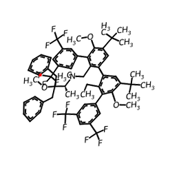 CCc1c(-c2cc(C(C)(C)C)c(OC)c(-c3cc(C(F)(F)F)cc(C(F)(F)F)c3)c2CN(C)[C@@H](C)C(Cc2ccccc2)(Cc2ccccc2)OC)cc(C(C)(C)C)c(OC)c1-c1cc(C(F)(F)F)cc(C(F)(F)F)c1